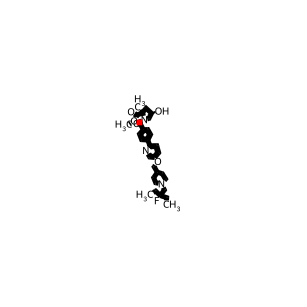 CCC(F)(CC)CN1CCC(COc2ccc(-c3ccc(C(=O)N4C[C@H](O)C[C@@]4(C)C(=O)OC)cc3)nc2)CC1